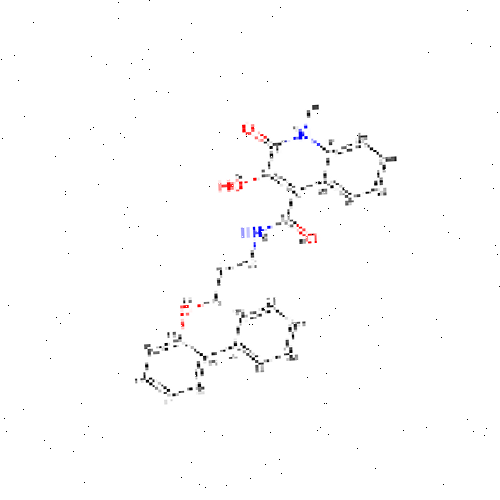 Cn1c(=O)c(O)c(C(=O)NCCCOc2ccccc2-c2ccccc2)c2ccccc21